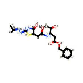 COC(=O)C(CC(=O)OCc1ccccc1)NC(=O)CC1S/C(=N/N=C(C)C)NC1=O